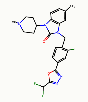 CC(=O)N1CCC(n2c(=O)n(Cc3ccc(-c4nnc(C(F)F)o4)cc3F)c3cc(C(F)(F)F)ccc32)CC1